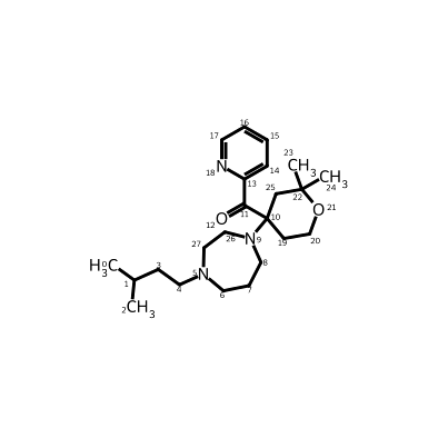 CC(C)CCN1CCCN(C2(C(=O)c3ccccn3)CCOC(C)(C)C2)CC1